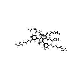 CCCCCCc1cccc(C2=CC(CCCCC)=C(c3cccc(CCCCCC)c3)[N+]2=[N-])c1.CCCC[CH2][Ni][CH2]CCCC